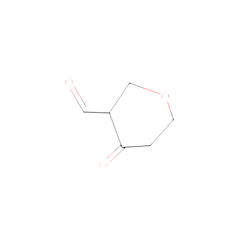 O=CC1COCCC1=O